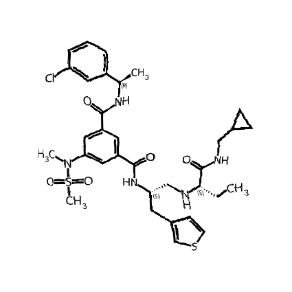 CC[C@H](NC[C@H](Cc1ccsc1)NC(=O)c1cc(C(=O)N[C@H](C)c2cccc(Cl)c2)cc(N(C)S(C)(=O)=O)c1)C(=O)NCC1CC1